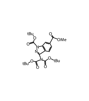 COC(=O)c1ccc2c(N(C(=O)OC(C)(C)C)C(=O)OC(C)(C)C)nn(C(=O)OC(C)(C)C)c2c1